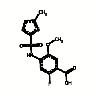 COc1cc(C(=O)O)c(F)cc1NS(=O)(=O)c1ccc(C)s1